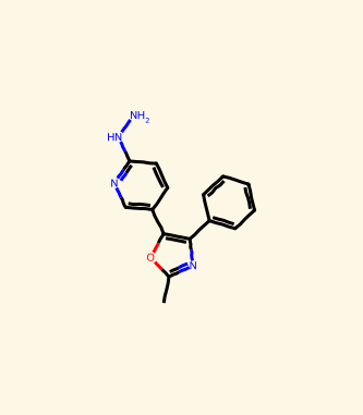 Cc1nc(-c2ccccc2)c(-c2ccc(NN)nc2)o1